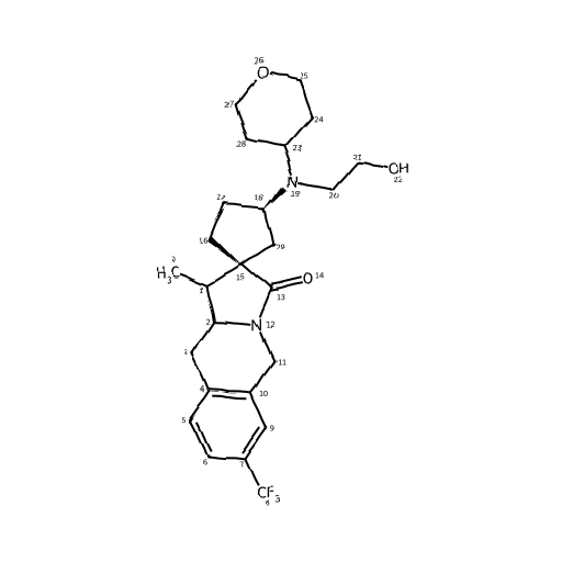 CC1C2Cc3ccc(C(F)(F)F)cc3CN2C(=O)[C@]12CC[C@@H](N(CCO)C1CCOCC1)C2